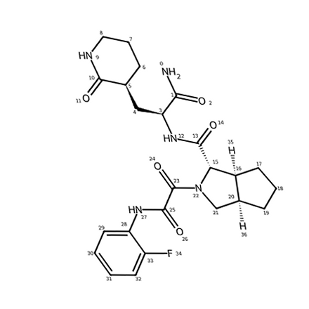 NC(=O)[C@H](C[C@@H]1CCCNC1=O)NC(=O)[C@@H]1[C@H]2CCC[C@H]2CN1C(=O)C(=O)Nc1ccccc1F